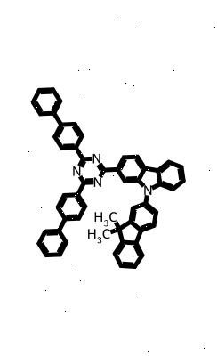 CC1(C)c2ccccc2-c2ccc(-n3c4ccccc4c4ccc(-c5nc(-c6ccc(-c7ccccc7)cc6)nc(-c6ccc(-c7ccccc7)cc6)n5)cc43)cc21